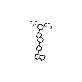 FC(F)(F)c1cc(-c2ccc3cc(-c4ccc(-c5cccc6ccccc56)cc4)ccc3c2)cc(C(F)(F)F)c1